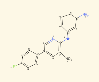 NC1C=C(Nc2ncc(-c3ccc(F)cc3)cc2[N+](=O)[O-])C=CC1